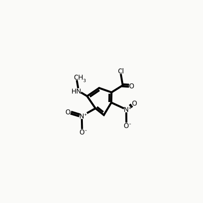 CNc1cc(C(=O)Cl)c([N+](=O)[O-])cc1[N+](=O)[O-]